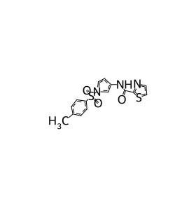 Cc1ccc(S(=O)(=O)n2ccc(NC(=O)c3nccs3)c2)cc1